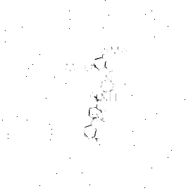 COc1cc(CN2CCC(NC(=O)c3ccc(-c4cccc(F)c4)nc3)CC2)cc(OC)c1